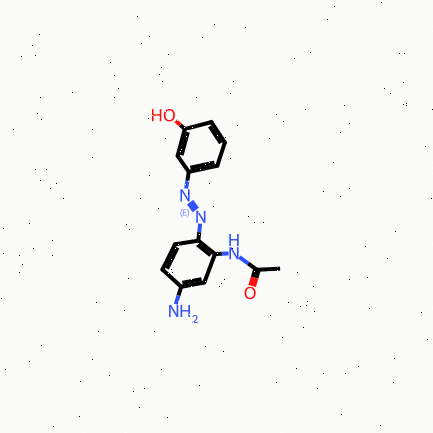 CC(=O)Nc1cc(N)ccc1/N=N/c1cccc(O)c1